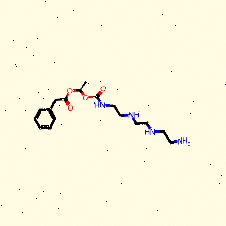 C[C@H](OC(=O)Cc1ccccc1)OC(=O)NCCNCCNCCN